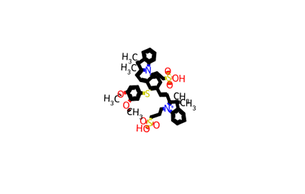 COc1ccc(SC2=C(/C=C/C3=[N+](CCCS(=O)(=O)O)c4ccccc4C3(C)C)CCC/C2=C\C=C2/N(CCCS(=O)(=O)O)c3ccccc3C2(C)C)cc1OC